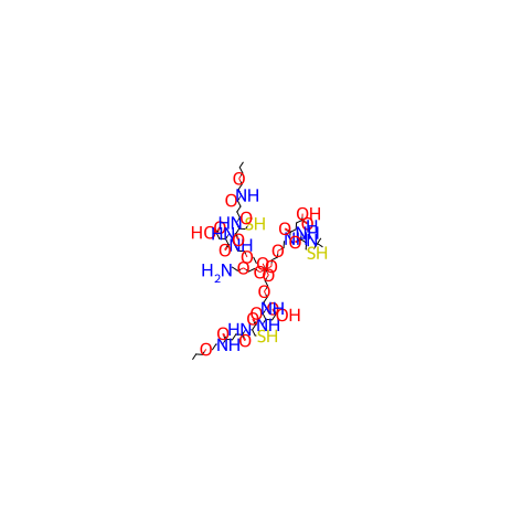 CCCOCCNC(=O)CCC(=O)NC(CS)C(=O)NC(CC(=O)O)C(=O)NCCOCCOC(OCCOCCN)(OCCOCCNC(=O)C(CC(=O)O)NC(=O)C(CS)NC(=O)CCC(=O)NCCOCCC)OCCOCCNC(=O)C(CC(=O)O)NC(=O)C(CS)NC(C)(C)C